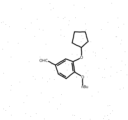 CCCCOc1ccc(C=O)cc1OC1CCCC1